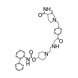 NC(=O)C1CCN(Cc2ccc(C(=O)CNCCN3CCC(OC(=O)Nc4ccccc4-c4ccccc4)CC3)cc2)CC1